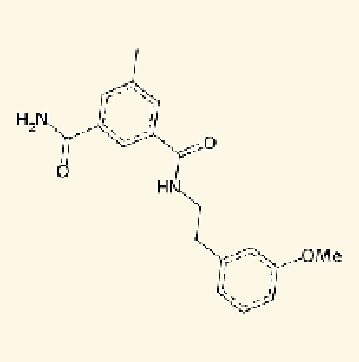 COc1cccc(CCNC(=O)c2cc(C)cc(C(N)=O)c2)c1